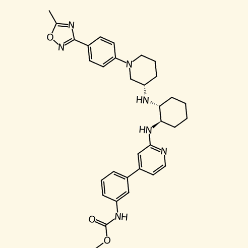 COC(=O)Nc1cccc(-c2ccnc(N[C@@H]3CCCC[C@H]3N[C@H]3CCCN(c4ccc(-c5noc(C)n5)cc4)C3)c2)c1